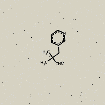 CC(C)(C=O)Cc1cccnc1